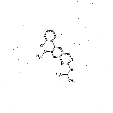 COc1cc2nc(NC(C)C)ncc2cc1-c1ccccc1Cl